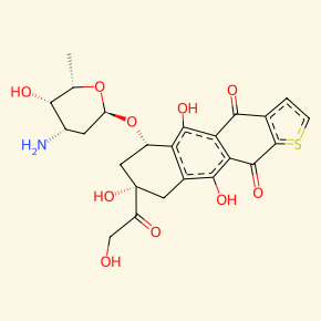 C[C@@H]1O[C@@H](O[C@H]2C[C@](O)(C(=O)CO)Cc3c(O)c4c(c(O)c32)C(=O)c2ccsc2C4=O)C[C@H](N)[C@@H]1O